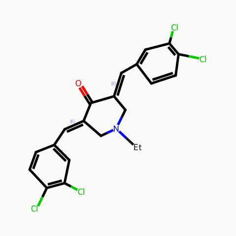 CCN1C/C(=C\c2ccc(Cl)c(Cl)c2)C(=O)/C(=C/c2ccc(Cl)c(Cl)c2)C1